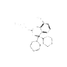 CC(C)(C)c1cccc2c1OC(OC(=O)O)OC2(C1CCCCC1)C1CCCCC1